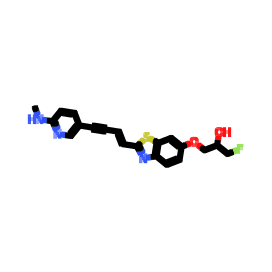 CNc1ccc(C#CC=Cc2nc3ccc(OCC(O)CF)cc3s2)cn1